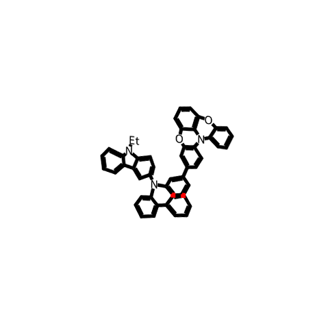 CCn1c2ccccc2c2cc(N(c3cccc(-c4ccc5c(c4)Oc4cccc6c4N5c4ccccc4O6)c3)c3ccccc3-c3ccccc3)ccc21